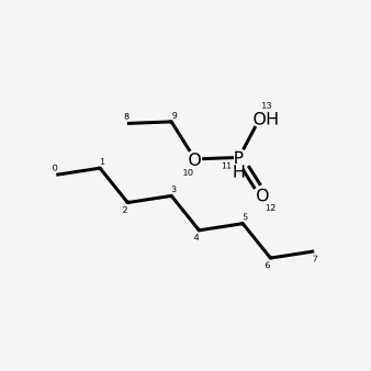 CCCCCCCC.CCO[PH](=O)O